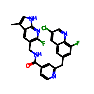 Cc1c[nH]c2nc(F)c(CNC(=O)c3ccnc(Cc4cc(F)c5ncc(Cl)cc5c4)c3)cc12